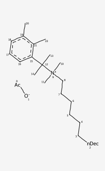 CC(=O)[O-].CCCCCCCCCCCCCCCC[N+](C)(C)C(C)(C)c1cccc(C)c1C